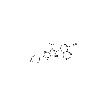 CC(C)c1c(-c2ccc(C#N)c3ncccc23)[nH]c2sc(C3CCNCC3)nc12